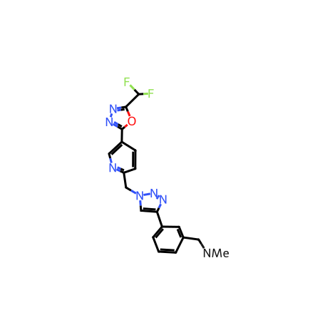 CNCc1cccc(-c2cn(Cc3ccc(-c4nnc(C(F)F)o4)cn3)nn2)c1